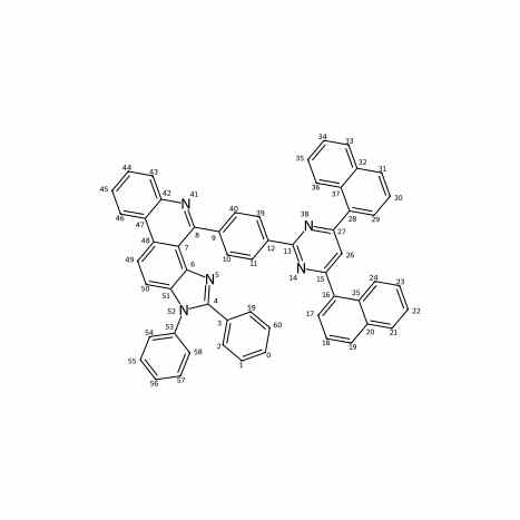 c1ccc(-c2nc3c4c(-c5ccc(-c6nc(-c7cccc8ccccc78)cc(-c7cccc8ccccc78)n6)cc5)nc5ccccc5c4ccc3n2-c2ccccc2)cc1